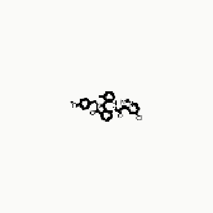 COc1ccc(CN2C(=O)c3cccc(NC(=O)c4ncn5ccc(Cl)cc45)c3C2c2ccccc2C)cc1